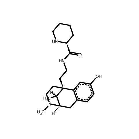 C[C@H]1[C@H]2Cc3ccc(O)cc3[C@@]1(CCNC(=O)[C@@H]1CCCCN1)CCN2C